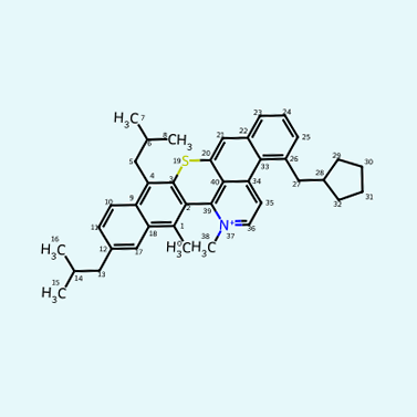 Cc1c2c(c(CC(C)C)c3ccc(CC(C)C)cc13)Sc1cc3cccc(CC4CCCC4)c3c3cc[n+](C)c-2c13